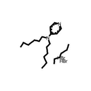 Br.Br.CCCCCC.CCCCCCN(CCCCCC)c1ccncc1